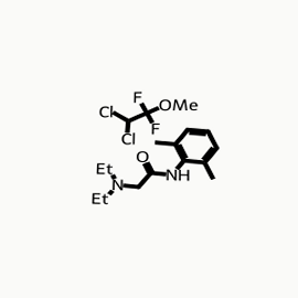 CCN(CC)CC(=O)Nc1c(C)cccc1C.COC(F)(F)C(Cl)Cl